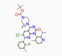 Cc1cccc(-c2nc3c(cc2Cl)c(N2CCN(C(=O)OC(C)(C)C)C[C@@H]2C)nc(=O)n3-c2c(C)ccnc2C(C)C)c1F